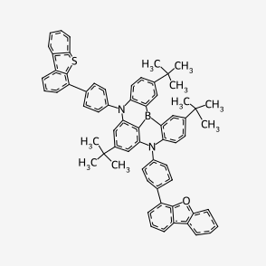 CC(C)(C)c1ccc2c(c1)B1c3cc(C(C)(C)C)ccc3N(c3ccc(-c4cccc5c4sc4ccccc45)cc3)c3cc(C(C)(C)C)cc(c31)N2c1ccc(-c2cccc3c2oc2ccccc23)cc1